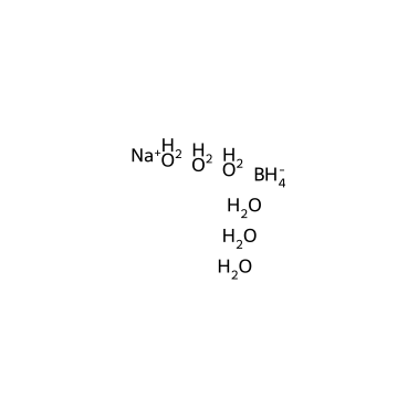 O.O.O.O.O.O.[BH4-].[Na+]